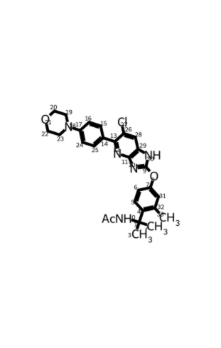 CC(=O)NC(C)(C)c1ccc(Oc2nc3nc(-c4ccc(N5CCOCC5)cc4)c(Cl)cc3[nH]2)cc1C